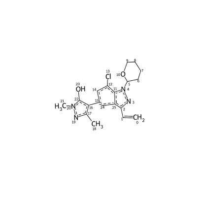 C=Cc1nn(C2CCCCO2)c2c(Cl)cc(-c3c(C)nn(C)c3O)cc12